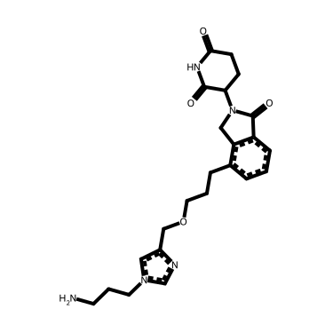 NCCCn1cnc(COCCCc2cccc3c2CN(C2CCC(=O)NC2=O)C3=O)c1